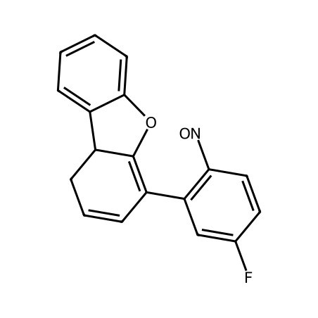 O=Nc1ccc(F)cc1C1=C2Oc3ccccc3C2CC=C1